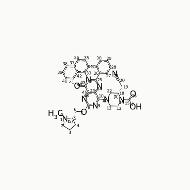 CN1CCC[C@H]1COc1nc(N2CCN(C(=O)O)[C@@H](CC#N)C2)c2nc(-c3ccccc3)n(-c3cccc4ccccc34)c(=O)c2n1